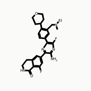 CCN(C)Cc1cc(-c2nc(-c3cc(F)c4c(c3)CCNC4=O)c(N)nc2F)ccc1C1CCOCC1